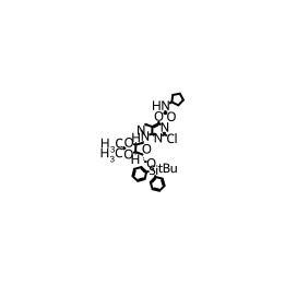 CC1(C)O[C@@H]2[C@H](O1)[C@@H](CO[Si](c1ccccc1)(c1ccccc1)C(C)(C)C)O[C@H]2n1ncc2c(OC(=O)NC3CCCC3)nc(Cl)nc21